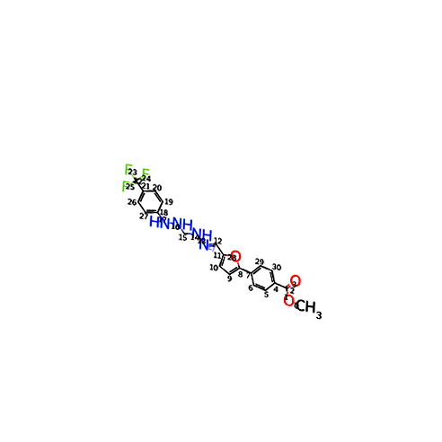 COC(=O)c1ccc(-c2ccc(/C=N/NCNNc3ccc(C(F)(F)F)cc3)o2)cc1